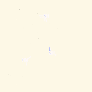 N[C@@H]1[C@@H](c2ccccc2)Cc2[nH]c3ccccc3c2[C@H]1CCNCC1CC1